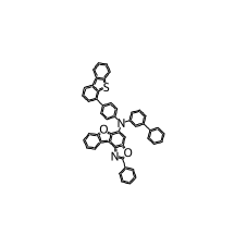 c1ccc(-c2cccc(N(c3ccc(-c4cccc5c4sc4ccccc45)cc3)c3cc4oc(-c5ccccc5)nc4c4c3oc3ccccc34)c2)cc1